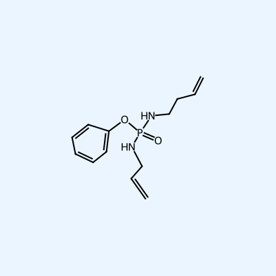 C=CCCNP(=O)(NCC=C)Oc1ccccc1